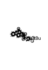 CC(C)(C)OC(=O)N1CCN(C(=O)C(C)(C)S(=O)(=O)CC(CC(=O)OCc2ccccc2)c2ccccc2)CC1